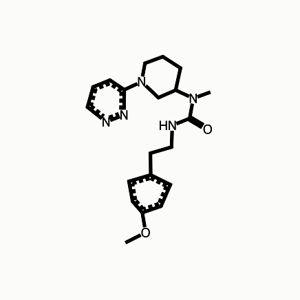 COc1ccc(CCNC(=O)N(C)C2CCCN(c3cccnn3)C2)cc1